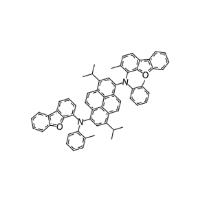 Cc1ccccc1N(c1cc(C(C)C)c2ccc3c(N(c4ccccc4C)c4c(C)ccc5c4oc4ccccc45)cc(C(C)C)c4ccc1c2c43)c1cccc2c1oc1ccccc12